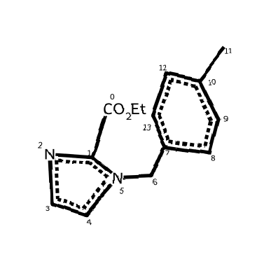 CCOC(=O)c1nccn1Cc1ccc(C)cc1